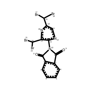 O=C1c2ccccc2C(=O)N1c1ncc(C(Br)Br)nc1C(Br)Br